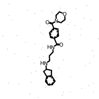 O=C(NCCCNC1Cc2ccccc2C1)c1ccc(C(=O)N2CCOCC2)cc1